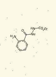 CCOC(=O)NNC(=O)c1ccccc1N